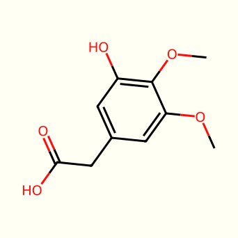 COc1cc(CC(=O)O)cc(O)c1OC